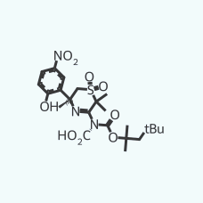 CC(C)(C)CC(C)(C)OC(=O)N(C(=O)O)C1=N[C@](C)(c2cc([N+](=O)[O-])ccc2O)CS(=O)(=O)C1(C)C